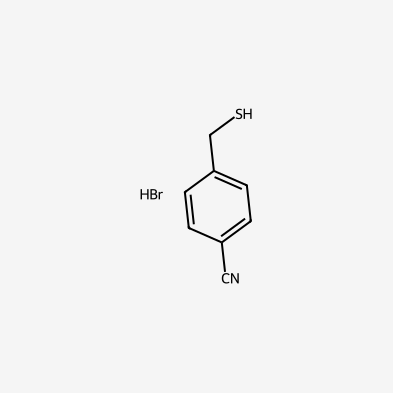 Br.N#Cc1ccc(CS)cc1